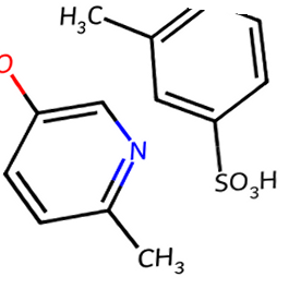 Cc1ccc(O)cn1.Cc1cccc(S(=O)(=O)O)c1